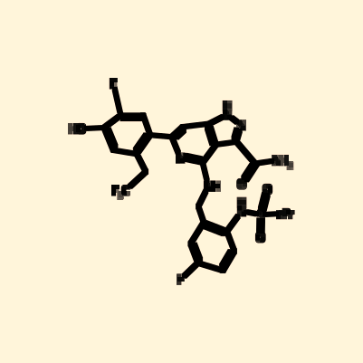 CCCS(=O)(=O)Nc1ccc(F)cc1CNc1nc(-c2cc(F)c(O)cc2CC(F)(F)F)cc2[nH]nc(C(N)=O)c12